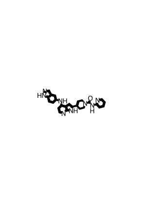 O=C(Nc1ccccn1)N1CC=C(c2cc3c(Nc4ccc5[nH]ncc5c4)ccnc3[nH]2)CC1